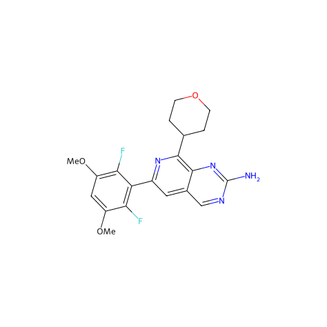 COc1cc(OC)c(F)c(-c2cc3cnc(N)nc3c(C3CCOCC3)n2)c1F